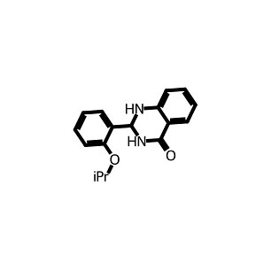 CC(C)Oc1ccccc1C1NC(=O)c2ccccc2N1